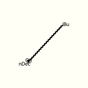 CCCCCCCCCCCC(=O)OCCCCCCCCCCCCCCCCCCCCCCCCCCCCCCCCCCCCC(C)CC